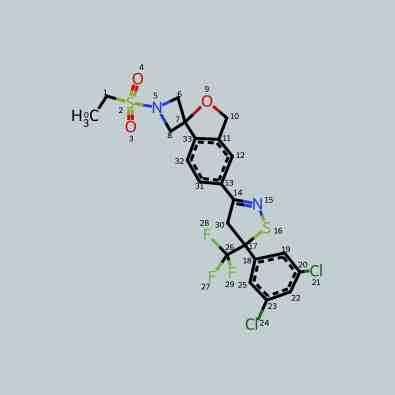 CCS(=O)(=O)N1CC2(C1)OCc1cc(C3=NSC(c4cc(Cl)cc(Cl)c4)(C(F)(F)F)C3)ccc12